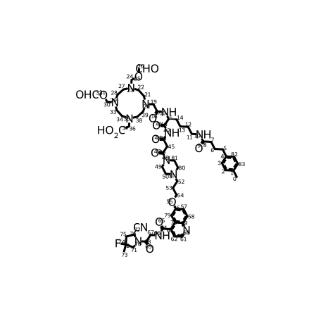 Cc1ccc(CCCC(=O)NCCCC[C@H](NC(=O)CN2CCN(COC=O)CCN(COC=O)CCN(CC(=O)O)CC2)C(=O)NC(=O)CC(=O)N2CCN(CCCOc3ccc4nccc(C(=O)NCC(=O)N5CC(C)(F)C[C@@H]5C#N)c4c3)CC2)cc1